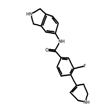 O=C(Nc1ccc2c(c1)CNC2)c1ccc(C2=CCNCC2)c(F)c1